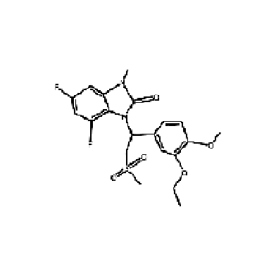 CCOc1cc(C(CS(C)(=O)=O)n2c(=O)n(C)c3cc(F)cc(F)c32)ccc1OC